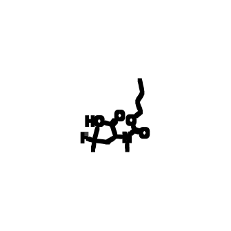 CCCCOC(=O)N(C)[C@@H](CC(C)(C)F)C(=O)O